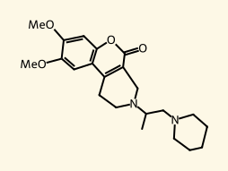 COc1cc2oc(=O)c3c(c2cc1OC)CCN(C(C)CN1CCCCC1)C3